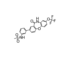 CS(=O)(=O)Nc1cccc(-c2ccc3c(c2)C(=O)Nc2cc(OC(F)(F)F)ccc2O3)c1